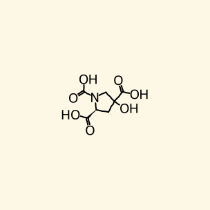 O=C(O)[C@@H]1CC(O)(C(=O)O)CN1C(=O)O